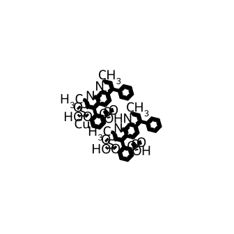 Cc1cc(-c2ccccc2)c2cc(S(=O)(=O)O)c3c(-c4ccccc4)c(S(=O)(=O)O)c(C)nc3c2n1.Cc1cc(-c2ccccc2)c2cc(S(=O)(=O)O)c3c(-c4ccccc4)c(S(=O)(=O)O)c(C)nc3c2n1.[Cu]